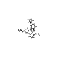 NCc1ccc(-n2c(-c3cccnc3N)nc3ccc(-n4cccn4)nc32)cc1